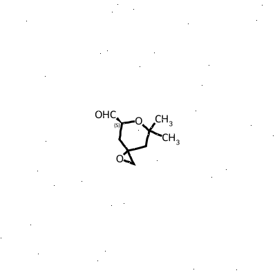 CC1(C)CC2(CO2)C[C@@H](C=O)O1